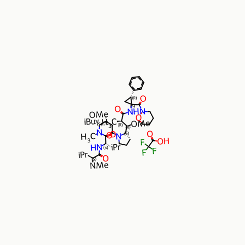 CC[C@H](C)[C@@H]([C@@H](CC(=O)N1CCC[C@H]1[C@H](OC)[C@@H](C)C(=O)N[C@@]1(C(=O)N2CCCCO2)C[C@@H]1c1ccccc1)OC)N(C)C(=O)[C@@H](NC(=O)[C@@H](NC)C(C)C)C(C)C.O=C(O)C(F)(F)F